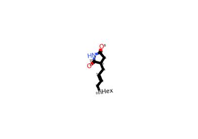 CCCCCCCC=CCC1CC(=O)NC1=O